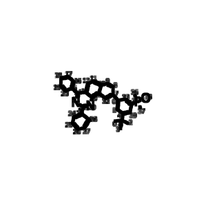 CC(C)(C)c1cc(-c2ccc3ccc4c(-c5ccccc5)nc(-c5ccccc5)nc4c3c2)cc(P(C)(C)=O)c1